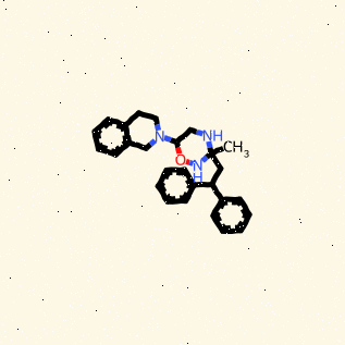 CC1(CC(c2ccccc2)c2ccccc2)NCC(N2CCc3ccccc3C2)ON1